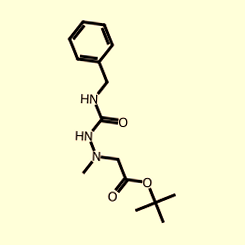 CN(CC(=O)OC(C)(C)C)NC(=O)NCc1ccccc1